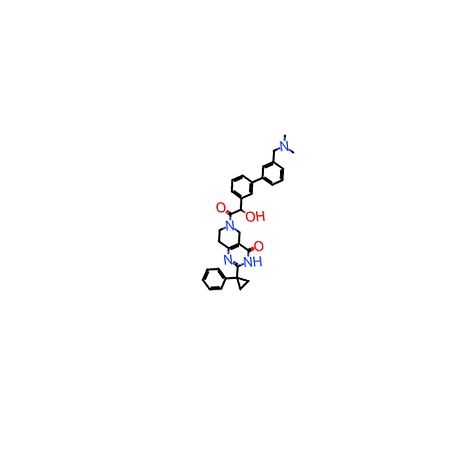 CN(C)Cc1cccc(-c2cccc(C(O)C(=O)N3CCc4nc(C5(c6ccccc6)CC5)[nH]c(=O)c4C3)c2)c1